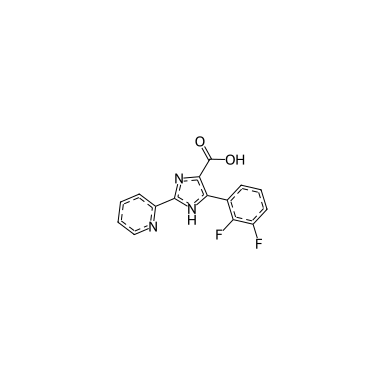 O=C(O)c1nc(-c2ccccn2)[nH]c1-c1cccc(F)c1F